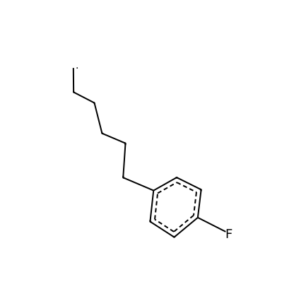 [CH2]CCCCCc1ccc(F)cc1